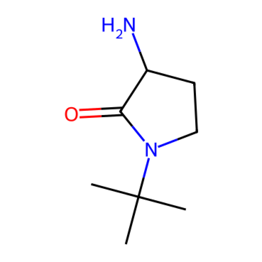 CC(C)(C)N1CCC(N)C1=O